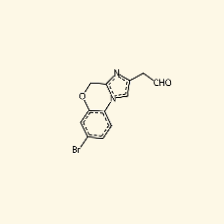 O=CCc1cn2c(n1)COc1cc(Br)ccc1-2